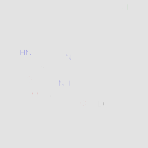 CCOc1ccccc1C(=O)N[C@H]1N=C(c2ccc(Cl)cc2)c2ccccc2NC1=O